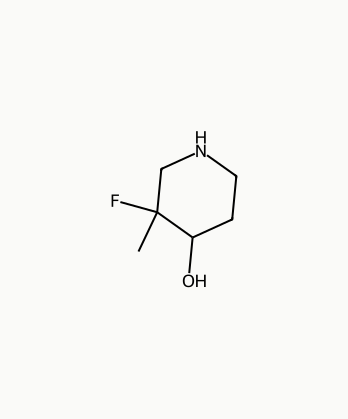 CC1(F)CNCCC1O